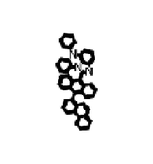 c1ccc(N2c3ccccc3-n3c(-c4c5ccccc5c(-c5cccc6c5ccc5ccccc56)c5ccccc45)nc4cccc2c43)cc1